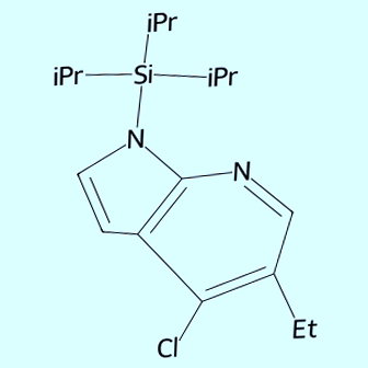 CCc1cnc2c(ccn2[Si](C(C)C)(C(C)C)C(C)C)c1Cl